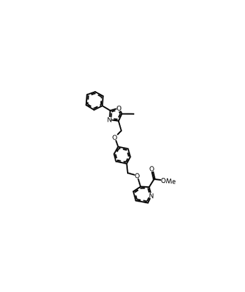 COC(=O)c1ncccc1OCc1ccc(OCc2nc(-c3ccccc3)oc2C)cc1